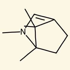 CN1C=C2CCC1(C)C2(C)C